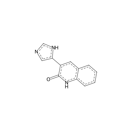 O=c1[nH]c2ccccc2cc1-c1cnc[nH]1